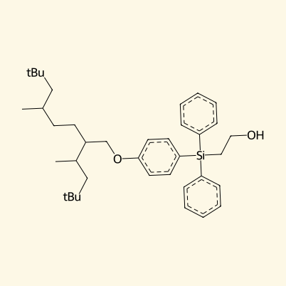 CC(CCC(COc1ccc([Si](CCO)(c2ccccc2)c2ccccc2)cc1)C(C)CC(C)(C)C)CC(C)(C)C